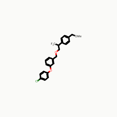 COCc1ccc(C(COCc2cccc(Oc3ccc(Cl)cc3)c2)C(F)(F)F)cc1